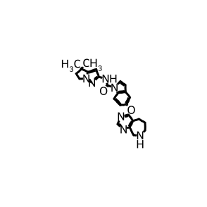 CC1(C)CCn2nc(NC(=O)n3ccc4cc(Oc5ncnc6c5CCCNC6)ccc43)cc21